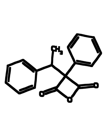 CC(c1ccccc1)C1(c2ccccc2)C(=O)OC1=O